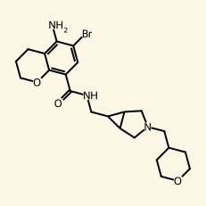 Nc1c(Br)cc(C(=O)NCC2C3CN(CC4CCOCC4)CC23)c2c1CCCO2